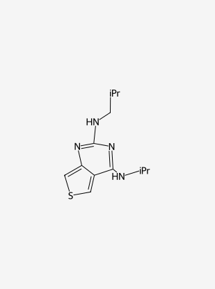 CC(C)CNc1nc(NC(C)C)c2cscc2n1